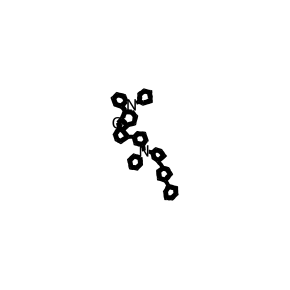 c1ccc(-c2ccc(-c3cccc(N(c4ccccc4)c4cccc(-c5cccc6oc7c(ccc8c7c7ccccc7n8-c7ccccc7)c56)c4)c3)cc2)cc1